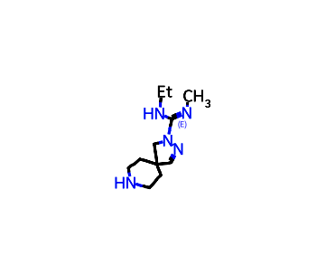 CCN/C(=N\C)N1CC2(C=N1)CCNCC2